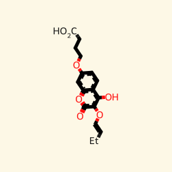 CCC=COc1c(O)c2ccc(OCCCC(=O)O)cc2oc1=O